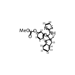 COC(=O)Oc1ccc([C@H]2c3ccccc3C[C@@]2(C)C(=O)Nc2nccs2)cc1